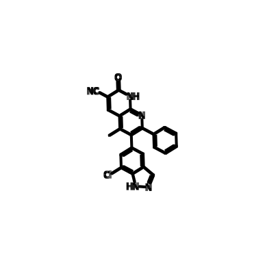 Cc1c(-c2cc(Cl)c3[nH]ncc3c2)c(-c2ccccc2)nc2[nH]c(=O)c(C#N)cc12